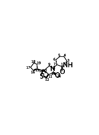 O=C1NCCCCC1N1Cc2c(csc2C2=CCCC2)C1=O